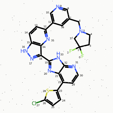 FC1(F)CCN(Cc2cncc(-c3ccc4[nH]nc(-c5nc6c(-c7ccc(Cl)s7)ccnc6[nH]5)c4n3)c2)C1